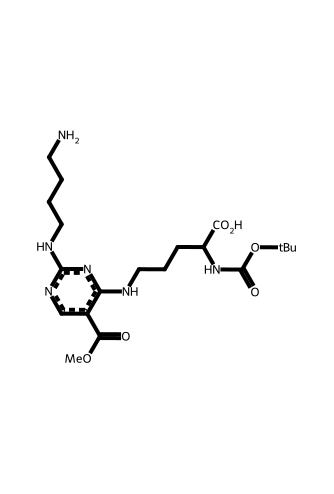 COC(=O)c1cnc(NCCCCN)nc1NCCCC(NC(=O)OC(C)(C)C)C(=O)O